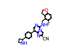 N#Cc1cn2c(NCc3c(F)ccc4c3CCO4)ncc(-c3ccc(C4CCN4)cc3)c2n1